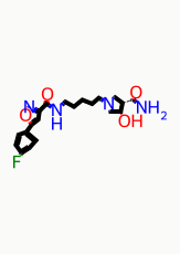 NC(=O)[C@H]1CN(CCCCCNC(=O)c2cc(-c3ccc(F)cc3)on2)C[C@@H]1O